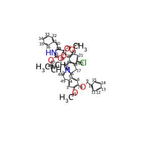 COc1cc2c(cc1OCc1ccccc1)C1Cc3c(Cl)cc(OC)c(OC(=O)[C@H](Cc4ccccc4)NC(=O)OC(C)(C)C)c3CN1CC2